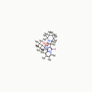 [2H]c1c([2H])c([2H])n2c(I)c(C([2H])([2H])[C@@]3([2H])N(C(=O)OC(C([2H])([2H])[2H])(C([2H])([2H])[2H])C([2H])([2H])[2H])C([2H])([2H])C([2H])([2H])C([2H])([2H])C3([2H])[2H])nc2c1[2H]